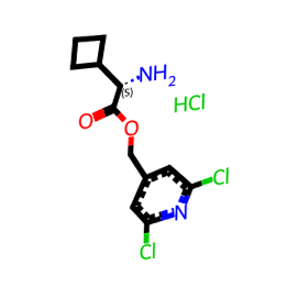 Cl.N[C@H](C(=O)OCc1cc(Cl)nc(Cl)c1)C1CCC1